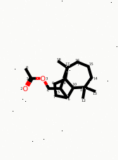 CC(=O)OCC1C2CCC3C2C(C)(C)CCCC13C